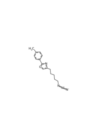 Cc1ccc(-c2nc(CCCCCN=[N+]=[N-])co2)cc1